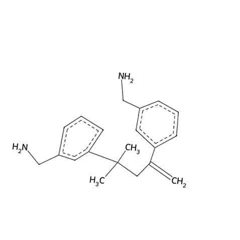 C=C(CC(C)(C)c1cccc(CN)c1)c1cccc(CN)c1